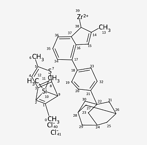 CC1=C2c3cc(C)sc3C1[Si]2(C)C.CC1=Cc2c(-c3ccc(C45CC6CC(CC(C6)C4)C5)cc3)cccc2[CH]1[Zr+2].[Cl-].[Cl-]